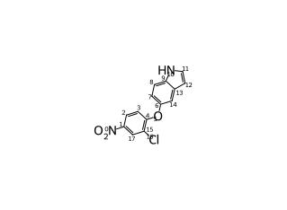 O=[N+]([O-])c1ccc(Oc2ccc3[nH]ccc3c2)c(Cl)c1